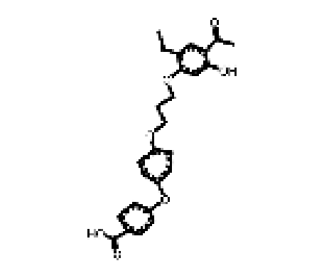 CCc1cc(C(C)=O)c(O)cc1OCCCOc1ccc(Oc2ccc(C(=O)O)cc2)cc1